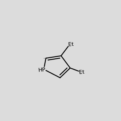 CCc1[c][pH]cc1CC